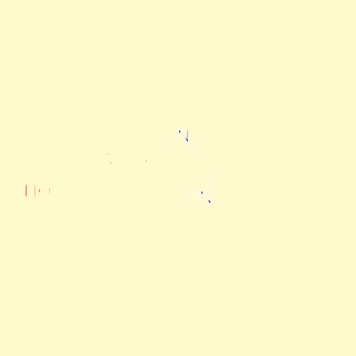 C[C@@H](Cc1nc(-c2ccccc2)no1)C(O)=S